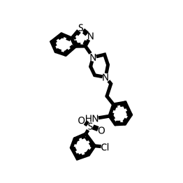 O=S(=O)(Nc1ccccc1CCN1CCN(c2nsc3ccccc23)CC1)c1ccccc1Cl